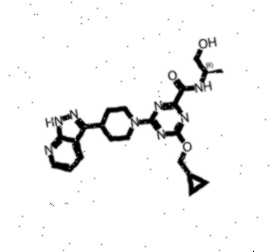 C[C@H](CO)NC(=O)c1nc(OCC2CC2)nc(N2CCC(c3n[nH]c4ncccc34)CC2)n1